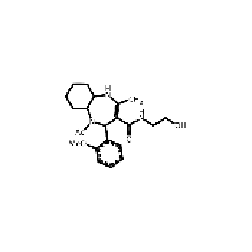 COc1ccccc1C1C(C(=O)NCCO)=C(C)NC2CCCCC2N1C(C)=O